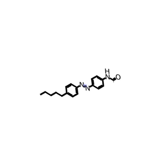 CCCCCc1ccc(/N=N/c2ccc(N[C]=O)cc2)cc1